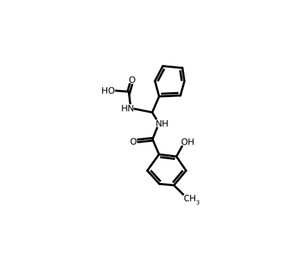 Cc1ccc(C(=O)NC(NC(=O)O)c2ccccc2)c(O)c1